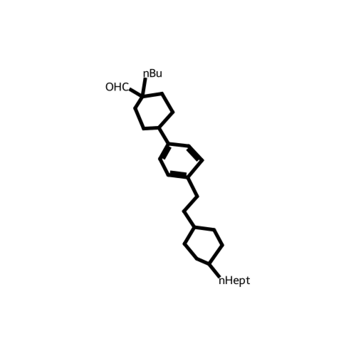 CCCCCCCC1CCC(CCc2ccc(C3CCC(C=O)(CCCC)CC3)cc2)CC1